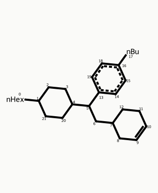 CCCCCCC1CCC(C(CC2CC=CCC2)c2ccc(CCCC)cc2)CC1